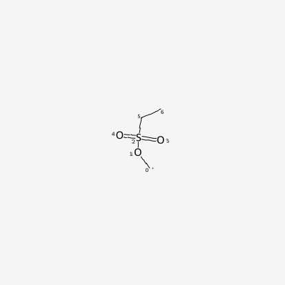 [CH2]OS(=O)(=O)CC